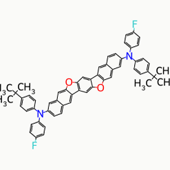 CC(C)(C)c1ccc(N(c2ccc(F)cc2)c2ccc3cc4c(cc3c2)oc2cc3c(cc24)oc2cc4cc(N(c5ccc(F)cc5)c5ccc(C(C)(C)C)cc5)ccc4cc23)cc1